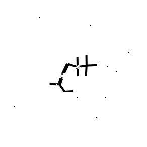 CCC(C)=C=C[Si](C)(C)C(C)(C)C